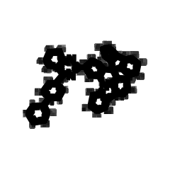 c1ccc(-c2ccc(-c3nc(-c4ccc5c(c4)-n4c6ccccc6c6cccc(c64)C54c5ccccc5-c5ccccc54)nc4ccccc34)cc2)cc1